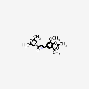 COc1cc(/C=C/C(=O)N2CC(C)OC(C)C2)cc(OC)c1OC(C)=O